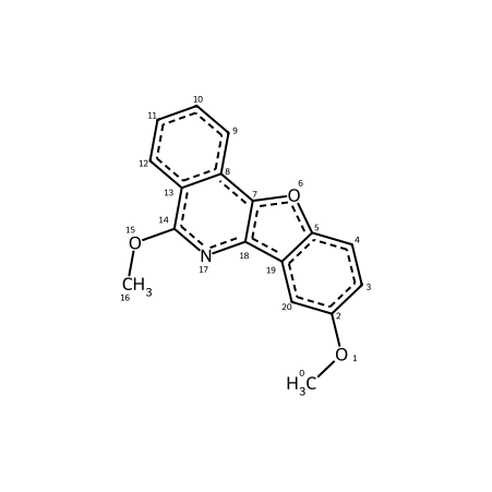 COc1ccc2oc3c4ccccc4c(OC)nc3c2c1